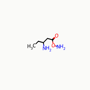 CCC(N)CC(=O)ON